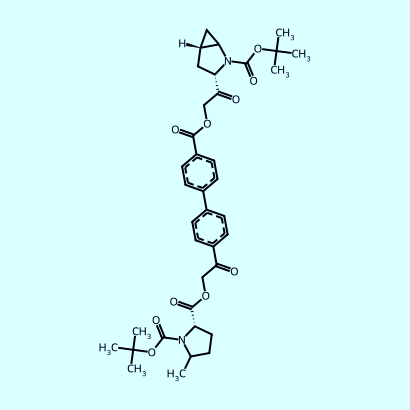 CC1CC[C@@H](C(=O)OCC(=O)c2ccc(-c3ccc(C(=O)OCC(=O)[C@@H]4C[C@@H]5CC5N4C(=O)OC(C)(C)C)cc3)cc2)N1C(=O)OC(C)(C)C